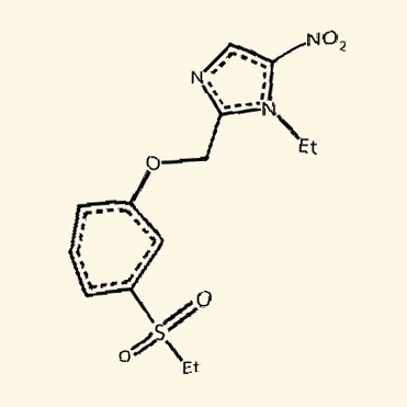 CCn1c([N+](=O)[O-])cnc1COc1cccc(S(=O)(=O)CC)c1